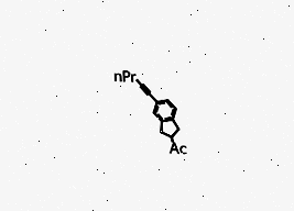 CCCC#Cc1ccc2c(c1)CC(C(C)=O)C2